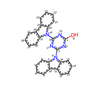 Oc1nc(-n2c3ccccc3c3ccccc32)nc(-n2c3ccccc3c3ccccc32)n1